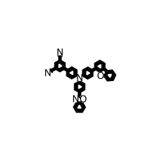 N#Cc1cc(C#N)cc(-c2ccc(N(c3ccc(-c4nc5ccccc5o4)cc3)c3ccc(-c4cccc5c4oc4ccccc45)cc3)cc2)c1